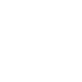 [S]CCCc1cccs1